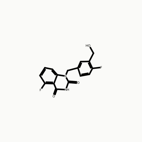 O=c1[nH]c(=O)n(Cc2ccc(F)c(CO)c2)c2cccc(F)c12